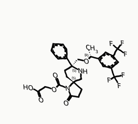 C[C@@H](OC[C@@]1(c2ccccc2)CC[C@]2(CCC(=O)N2C(=O)OCC(=O)O)CN1)c1cc(C(F)(F)F)cc(C(F)(F)F)c1